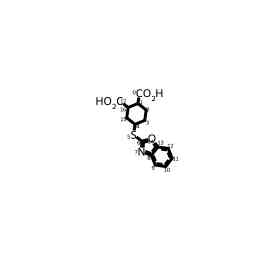 O=C(O)C1CCC(Sc2nc3ccccc3o2)CC1C(=O)O